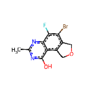 Cc1nc(O)c2c3c(c(Br)c(F)c2n1)COC3